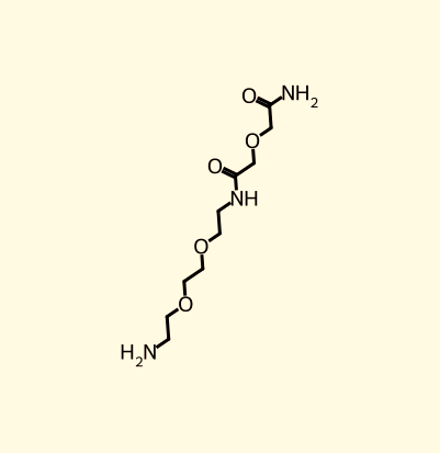 NCCOCCOCCNC(=O)COCC(N)=O